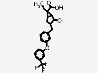 CCC1(C(=O)O)C2CC(Cc3cccc(Oc4cccc(C(F)(F)F)c4)c3)C(=O)C21